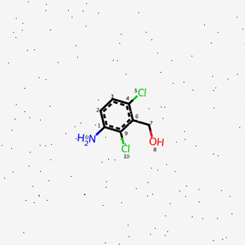 Nc1ccc(Cl)c(CO)c1Cl